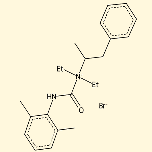 CC[N+](CC)(C(=O)Nc1c(C)cccc1C)C(C)Cc1ccccc1.[Br-]